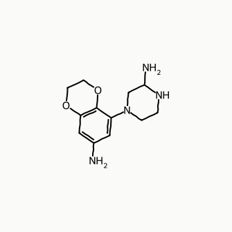 Nc1cc2c(c(N3CCNC(N)C3)c1)OCCO2